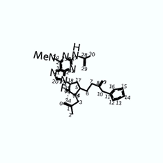 C=C(C)C[C@@H]1C(CCC(=C)Cc2ccccc2)CC(n2cnc3c(NC)nc(NC(=C)C)nc32)[C@]1(C)F